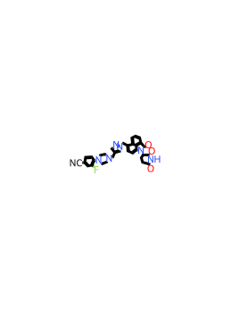 N#Cc1ccc(N2CCN(Cc3cnn(Cc4ccc5c6c(cccc46)C(=O)N5[C@@H]4CCC(=O)NC4=O)c3)CC2)c(F)c1